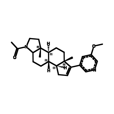 COc1cncc(C2=CC[C@H]3[C@@H]4CCC5N(C(C)=O)CC[C@]5(C)[C@H]4CC[C@]23C)c1